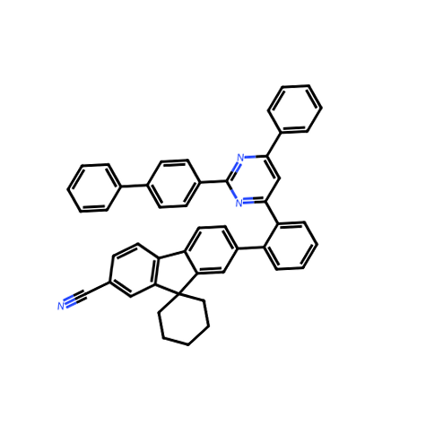 N#Cc1ccc2c(c1)C1(CCCCC1)c1cc(-c3ccccc3-c3cc(-c4ccccc4)nc(-c4ccc(-c5ccccc5)cc4)n3)ccc1-2